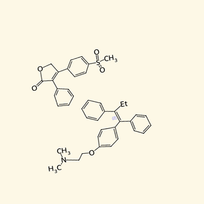 CC/C(=C(\c1ccccc1)c1ccc(OCCN(C)C)cc1)c1ccccc1.CS(=O)(=O)c1ccc(C2=C(c3ccccc3)C(=O)OC2)cc1